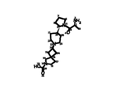 CC(N)C(=O)N1CCC[C@H]1C1CCN(C2CC3(CCN(C(=O)O)C3)C2)CC1